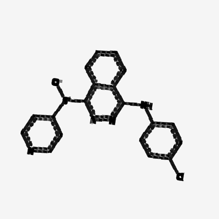 [O-][S+](c1ccncc1)c1nnc(Nc2ccc(Cl)cc2)c2ccccc12